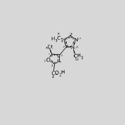 CCc1oc(C(=O)O)cc1-c1c(C)cnn1C